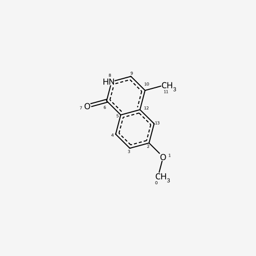 COc1ccc2c(=O)[nH]cc(C)c2c1